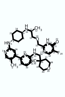 Cc1cnc(N[C@H]2CC[C@H](N[C@@H](C)COCc3ncc(F)c(=O)[nH]3)CC2)cc1-c1cccc(NCC2(C#N)CCOCC2)n1